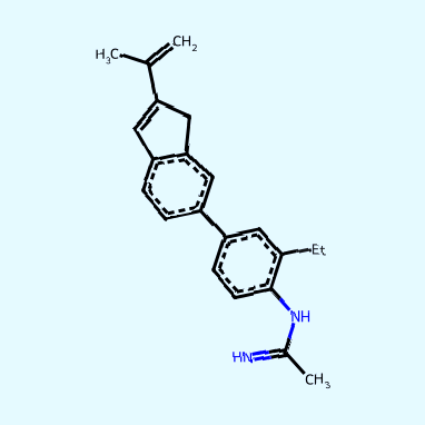 C=C(C)C1=Cc2ccc(-c3ccc(NC(C)=N)c(CC)c3)cc2C1